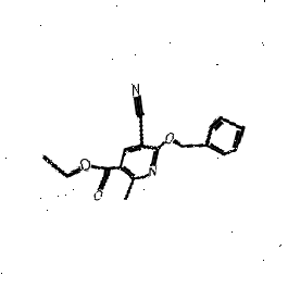 CCOC(=O)c1cc(C#N)c(OCc2ccccc2)nc1C